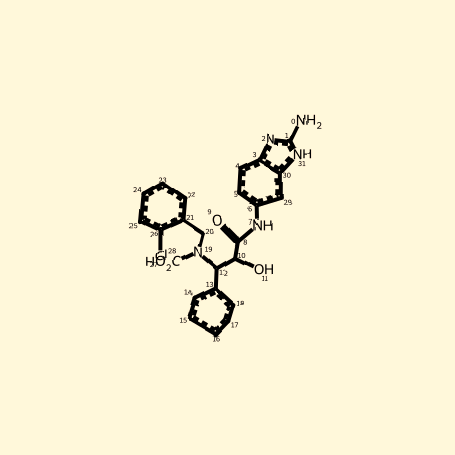 Nc1nc2ccc(NC(=O)C(O)C(c3ccccc3)N(Cc3ccccc3Cl)C(=O)O)cc2[nH]1